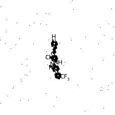 FC(F)(F)c1cccc(N2CCc3c(ncnc3Nc3ccc(OCCCN4CCNCC4)c(Cl)c3)C2)c1